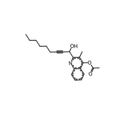 CCCCCCC#CC(O)c1nc2ccccc2c(OC(C)=O)c1C